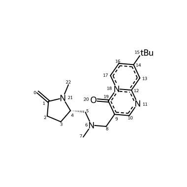 C=C1CC[C@@H](CN(C)Cc2cnc3cc(C(C)(C)C)ccn3c2=O)N1C